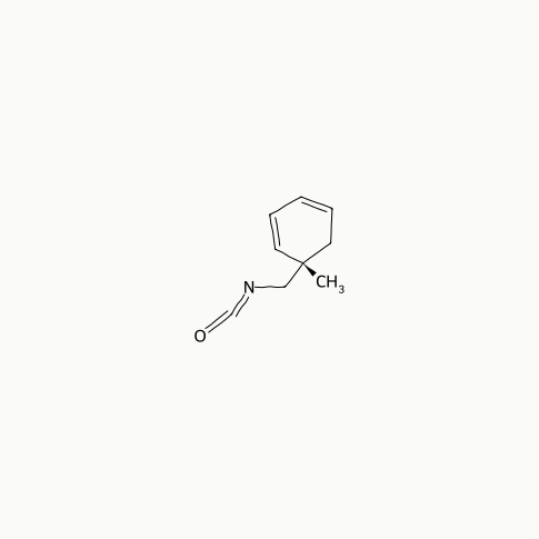 C[C@@]1(CN=C=O)C=CC=CC1